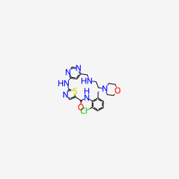 Cc1cccc(Cl)c1NC(=O)c1cnc(Nc2cc(CNCCN3CCOCC3)ncn2)s1